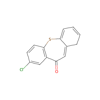 O=C1C=C2CC=CC=C2Sc2ccc(Cl)cc21